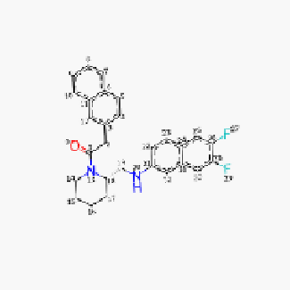 O=C(Cc1ccc2ccccc2c1)N1CCCC[C@H]1CNc1ccc2cc(F)c(F)cc2c1